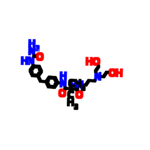 CC(C)(C(=O)NCCCN(CCO)CCO)C(=O)Nc1ccc(Cc2ccc(NC(N)=O)cc2)cc1